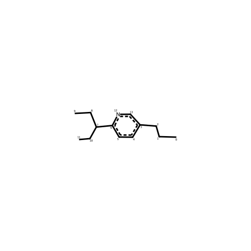 CCCc1ccc(C(CC)CC)nc1